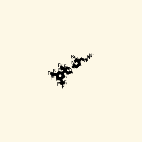 [N-]=[N+]=NCc1ccc(N2CCC(c3cc(C(F)(F)F)cc(C(F)(F)F)c3)(C(F)(F)F)C2)nc1Br